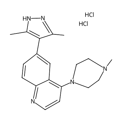 Cc1n[nH]c(C)c1-c1ccc2nccc(N3CCN(C)CC3)c2c1.Cl.Cl